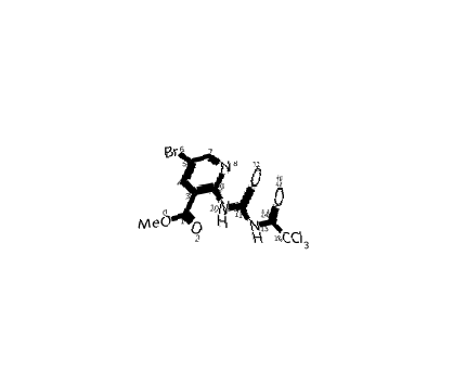 COC(=O)c1cc(Br)cnc1NC(=O)NC(=O)C(Cl)(Cl)Cl